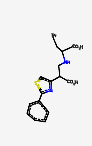 CC(C)CC(NCC(C(=O)O)c1csc(-c2ccccc2)n1)C(=O)O